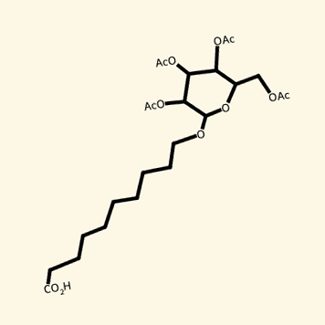 CC(=O)OCC1OC(OCCCCCCCCCC(=O)O)C(OC(C)=O)C(OC(C)=O)C1OC(C)=O